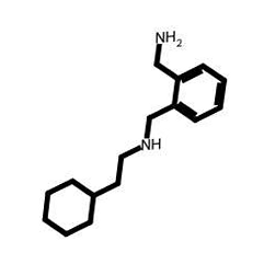 NCc1ccccc1CNCCC1CCCCC1